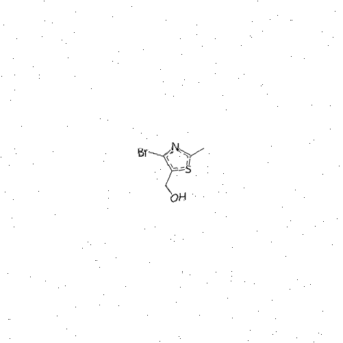 Cc1nc(Br)c(CO)s1